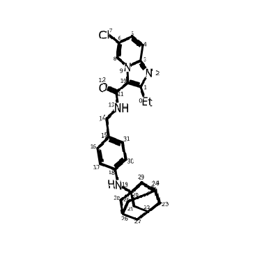 CCc1nc2ccc(Cl)cn2c1C(=O)NCc1ccc(NC23CC4CC(CC(C4)C2)C3)cc1